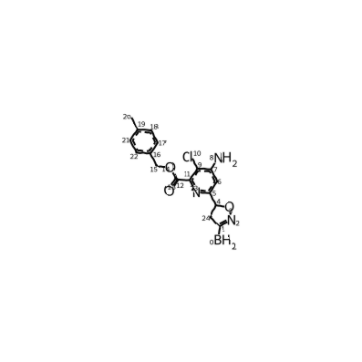 BC1=NOC(c2cc(N)c(Cl)c(C(=O)OCc3ccc(C)cc3)n2)C1